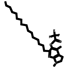 CCCCCCCCCCCCCCCCc1nc2c(c(C)c1OC(=O)C(F)(F)F)CCN2C